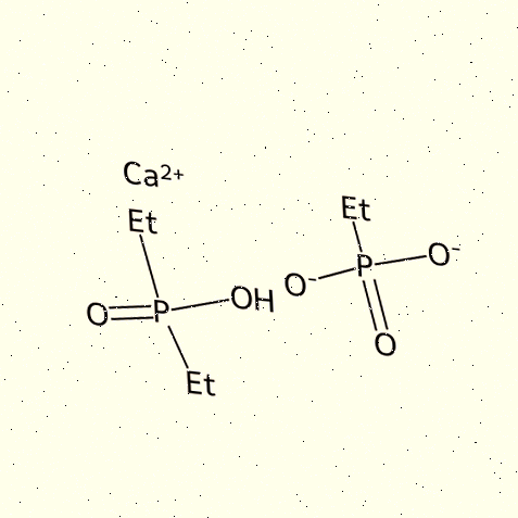 CCP(=O)(O)CC.CCP(=O)([O-])[O-].[Ca+2]